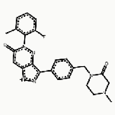 Cc1cccc(F)c1-n1nc2c(-c3ccc(CN4CCN(C)CC4=O)cc3)n[nH]c2cc1=O